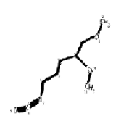 CO[CH]C(CCCN=C=O)OC